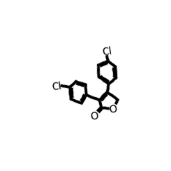 O=C1OCC(c2ccc(Cl)cc2)=C1c1ccc(Cl)cc1